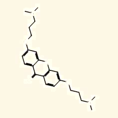 CN(C)CCCOc1ccc2c(=O)c3ccc(OCCCN(C)C)cc3sc2c1